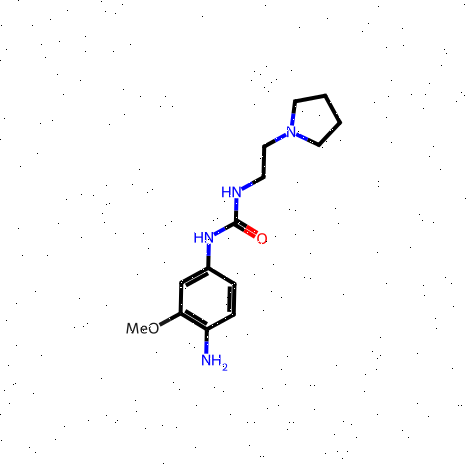 COc1cc(NC(=O)NCCN2CCCC2)ccc1N